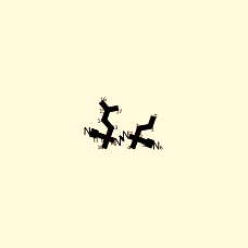 CCCC(C)(C#N)N=NC(C)(C#N)CCC(C)C